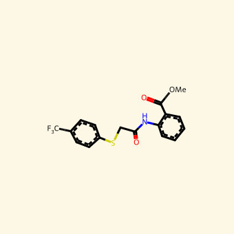 COC(=O)c1ccccc1NC(=O)CSc1ccc(C(F)(F)F)cc1